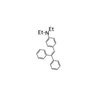 CCN(CC)c1ccc(C=C(c2ccccc2)c2ccccc2)cc1